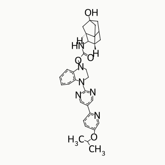 CC(C)Oc1ccc(-c2cnc(N3CCN(OC(=O)NC4[C@@H]5CC6C[C@H]4CC(O)(C6)C5)c4ccccc43)nc2)nc1